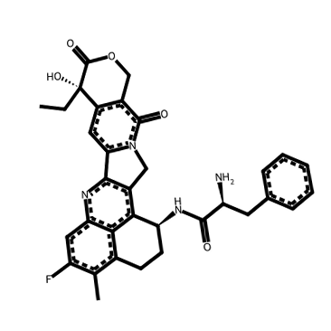 CC[C@@]1(O)C(=O)OCc2c1cc1n(c2=O)Cc2c-1nc1cc(F)c(C)c3c1c2[C@@H](NC(=O)[C@@H](N)Cc1ccccc1)CC3